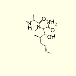 C/C=C/C[C@@H](C)[C@@H](O)C(C(N)=O)N(C)C(=O)[C@H](C)NC